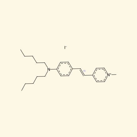 CCCCCN(CCCCC)c1ccc(/C=C/c2cc[n+](C)cc2)cc1.[I-]